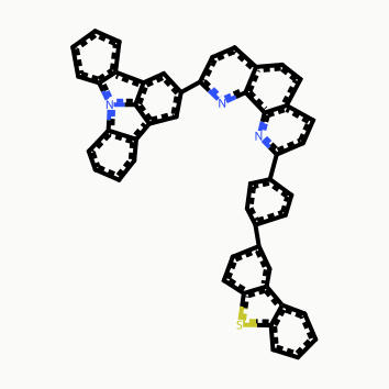 c1ccc2c(c1)sc1ccc(-c3ccc(-c4ccc5ccc6ccc(-c7cc8c9ccccc9n9c%10ccccc%10c(c7)c89)nc6c5n4)cc3)cc12